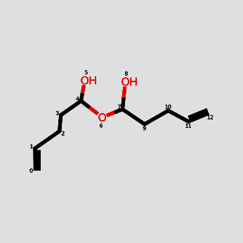 C=CCCC(O)OC(O)CCC=C